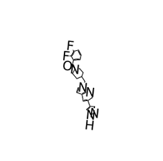 O=C(c1cccc(F)c1F)N1CCC(Cn2ccc3cc(-c4cn[nH]c4)cnc32)CC1